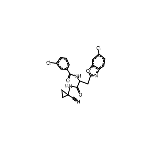 N#CC1(NC(=O)C(Cc2nc3ccc(Cl)cc3o2)NC(=O)c2cccc(Cl)c2)CC1